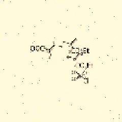 C=C(C)C(=O)OCC.C=C(C)C(=O)OCC.CC=C(C)C(=O)[O-].C[N+](C)(C)Cl